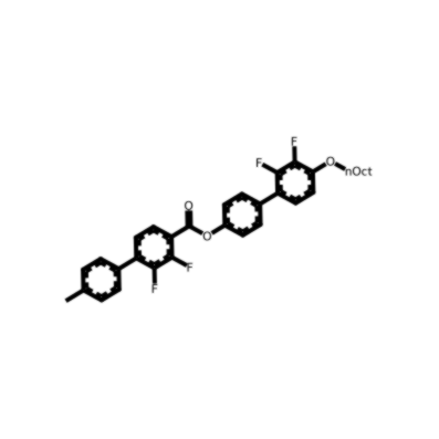 CCCCCCCCOc1ccc(-c2ccc(OC(=O)c3ccc(-c4ccc(C)cc4)c(F)c3F)cc2)c(F)c1F